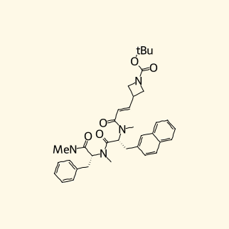 CNC(=O)[C@@H](Cc1ccccc1)N(C)C(=O)[C@@H](Cc1ccc2ccccc2c1)N(C)C(=O)/C=C/C1CN(C(=O)OC(C)(C)C)C1